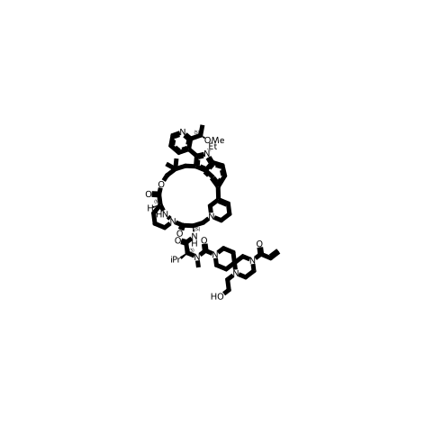 C=CC(=O)N1CCN(CCO)C2(CCN(C(=O)N(C)[C@H](C(=O)N[C@H]3CN4CCC=C(C4)c4ccc5c(c4)c(c(-c4cccnc4[C@H](C)OC)n5CC)CC(C)(C)COC(=O)[C@@H]4CCCN(N4)C3=O)C(C)C)CC2)C1